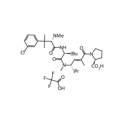 CN[C@H](C(=O)N[C@H](C(=O)N(C)[C@H](/C=C(\C)C(=O)N1CCC[C@H]1C(=O)O)C(C)C)C(C)(C)C)C(C)(C)c1cccc(Cl)c1.O=C(O)C(F)(F)F